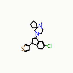 CN1CCN([C@H]2C[C@H](c3ccsc3)c3ccc(Cl)cc32)CC12CCCC2